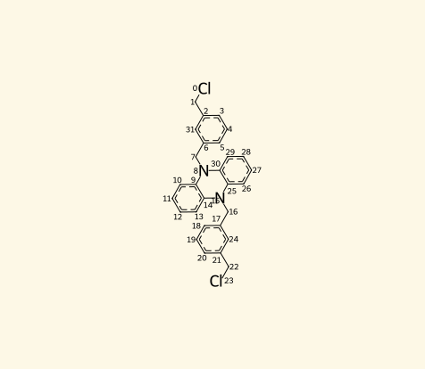 ClCc1cccc(CN2c3ccccc3N(Cc3cccc(CCl)c3)c3ccccc32)c1